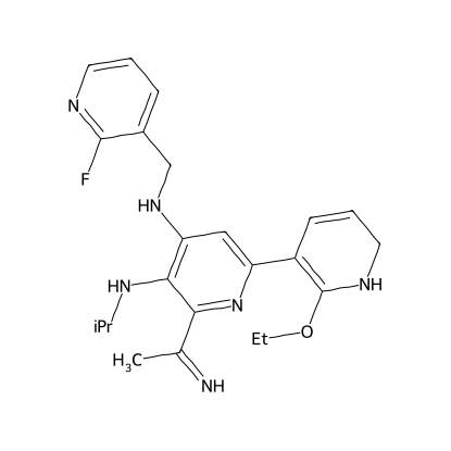 CCOC1=C(c2cc(NCc3cccnc3F)c(NC(C)C)c(C(C)=N)n2)C=CCN1